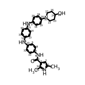 Cc1cc(C(=O)Nc2ccc(Nc3ccc(Nc4ccc(N5CCC(O)CC5)cc4)cc3)cc2)c(C)[nH]1